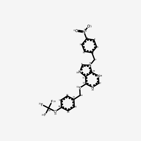 O=[N+]([O-])c1ccc(Cn2cnc3c(SCc4ccc(OC(F)(F)F)cc4)ncnc32)cc1